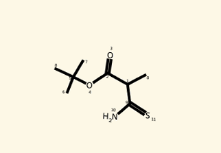 CC(C(=O)OC(C)(C)C)C(N)=S